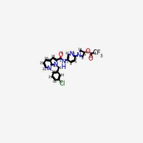 O=C(Nc1ccc(N2CC(OC(=O)C(F)(F)F)C2)nc1)c1cc2cccnc2n1Cc1cccc(Cl)c1